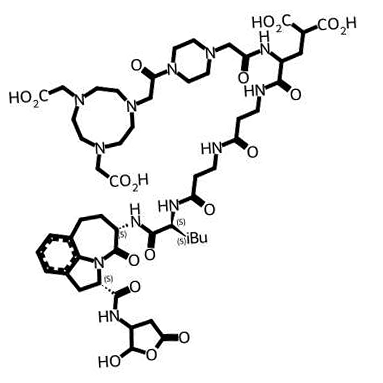 CC[C@H](C)[C@H](NC(=O)CCNC(=O)CCNC(=O)C(CC(C(=O)O)C(=O)O)NC(=O)CN1CCN(C(=O)CN2CCN(CC(=O)O)CCN(CC(=O)O)CC2)CC1)C(=O)N[C@H]1CCc2cccc3c2N(C1=O)[C@H](C(=O)NC1CC(=O)OC1O)C3